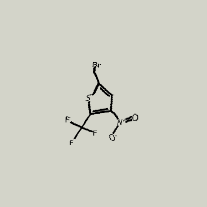 O=[N+]([O-])c1[c]c(Br)sc1C(F)(F)F